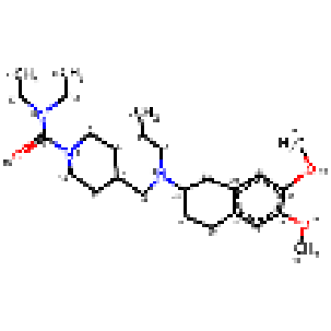 CCCN(CC1CCN(C(=O)N(CC)CC)CC1)C1CCc2cc(OC)c(OC)cc2C1